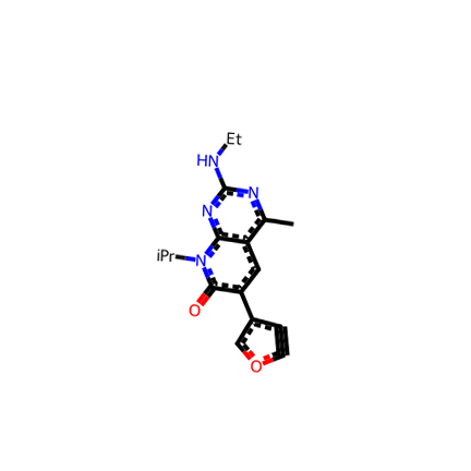 CCNc1nc(C)c2cc(-c3c#coc3)c(=O)n(C(C)C)c2n1